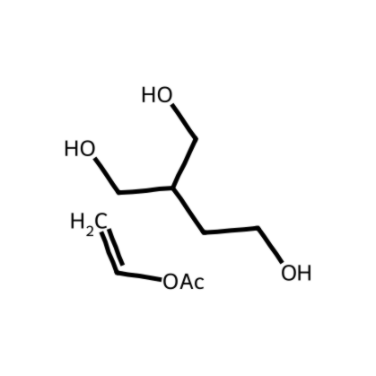 C=COC(C)=O.OCCC(CO)CO